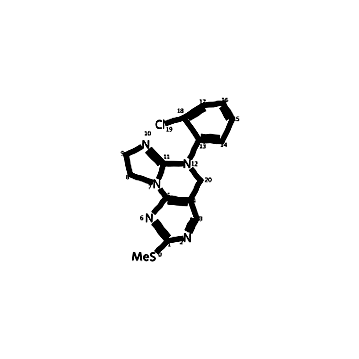 CSc1ncc2c(n1)N1CCN=C1N(c1ccccc1Cl)C2